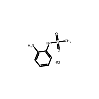 CS(=O)(=O)Nc1ccccc1N.Cl